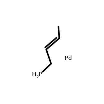 CC=CCP.[Pd]